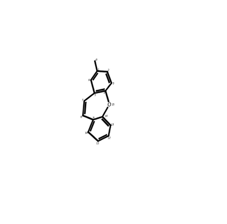 Cc1ccc2c(c1)C=Cc1ccccc1O2